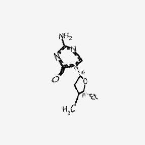 CC[C@H]1O[C@@H](n2cnc(N)nc2=O)CC1C